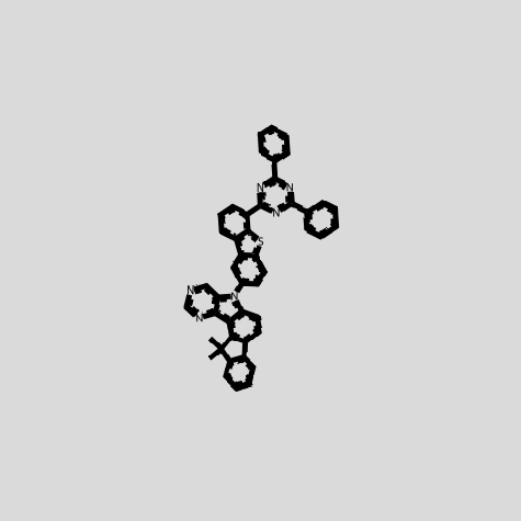 CC1(C)c2ccccc2-c2ccc3c(c21)c1ncncc1n3-c1ccc2sc3c(-c4nc(-c5ccccc5)nc(-c5ccccc5)n4)cccc3c2c1